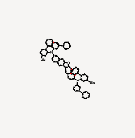 CC(C)(C)c1ccc(-c2ccccc2)c(N(c2cccc(-c3ccccc3)c2)c2ccc3cc4c(cc3c2)oc2cc3cc(N(c5cccc(-c6ccccc6)c5)c5cc(C(C)(C)C)ccc5-c5ccccc5)ccc3cc24)c1